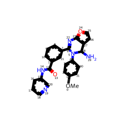 COc1ccc(N2C(c3cccc(C(=O)Nc4cccnc4)c3)=Nc3occc3C2N)cc1